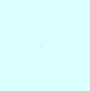 C=CCCC(=O)NC(CO)Cc1ccccc1